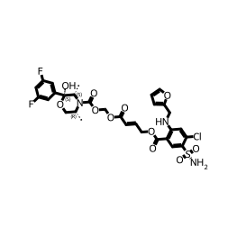 C[C@@H]1CO[C@@](O)(c2cc(F)cc(F)c2)[C@H](C)N1C(=O)OCOC(=O)C=CCOC(=O)c1cc(S(N)(=O)=O)c(Cl)cc1NCc1ccco1